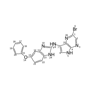 Brc1cnc2[nH]cc(Nc3nc4cc(Oc5ccccc5)ccc4[nH]3)c2n1